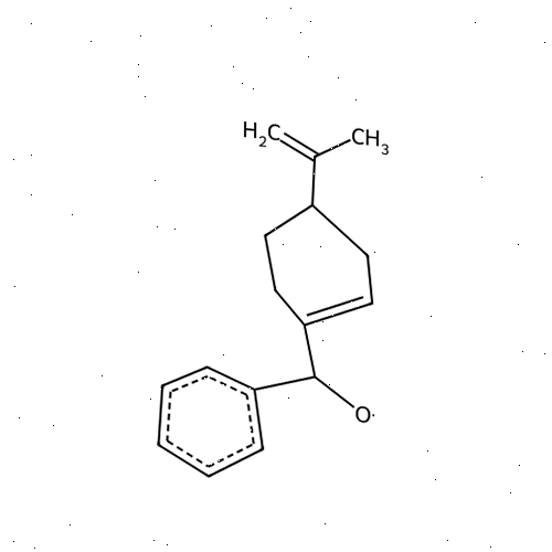 C=C(C)C1CC=C(C([O])c2ccccc2)CC1